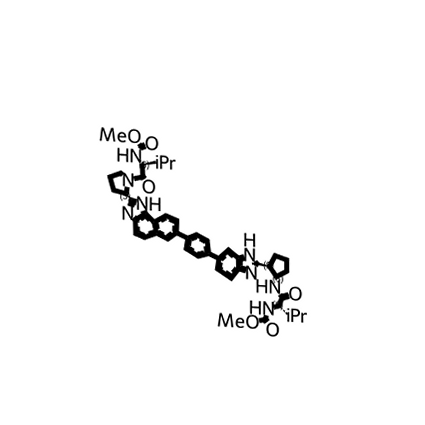 COC(=O)N[C@H](C(=O)N[C@H]1CCC[C@@H]1c1nc2ccc(-c3ccc(-c4ccc5c(ccc6nc([C@@H]7CCCN7C(=O)[C@@H](NC(=O)OC)C(C)C)[nH]c65)c4)cc3)cc2[nH]1)C(C)C